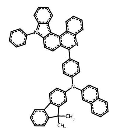 CC1(C)c2ccccc2-c2ccc(N(c3ccc(-c4nc5ccccc5c5c4ccc4c5c5ccccc5n4-c4ccccc4)cc3)c3ccc4ccccc4c3)cc21